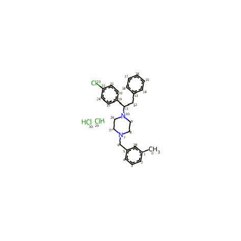 Cc1cccc(CN2CCN(C(Cc3ccccc3)c3ccc(Cl)cc3)CC2)c1.Cl.Cl